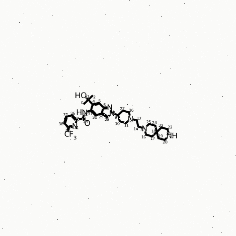 CC(C)(O)c1cc2nn(C3CCN(CCN4CCC5(CCNCC5)CC4)CC3)cc2cc1NC(=O)c1cccc(C(F)(F)F)n1